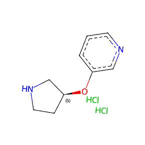 Cl.Cl.c1cncc(O[C@H]2CCNC2)c1